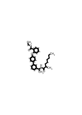 CCCCCCC(C)C(=O)NC(C)c1cccc(-c2ccc(Oc3ccccc3C(=O)OCC)cc2)c1